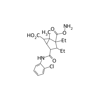 CCC1C(C(=O)Nc2ccccc2Cl)C2C(C(=O)O)C2(C)C1(CC)C(=O)ON